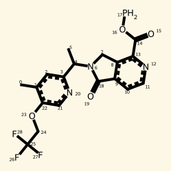 Cc1cc(C(C)N2Cc3c(ccnc3C(=O)OP)C2=O)ncc1OCC(F)(F)F